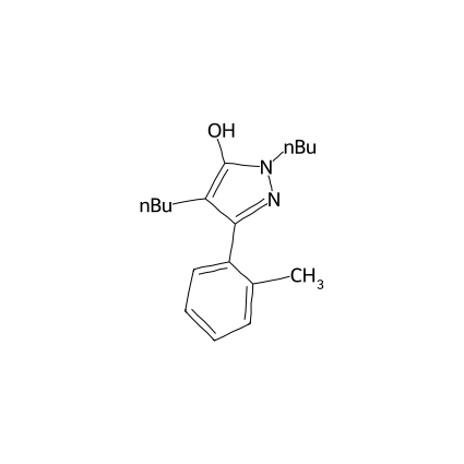 CCCCc1c(-c2ccccc2C)nn(CCCC)c1O